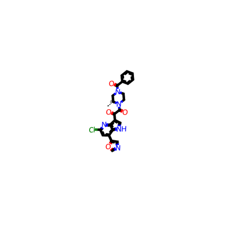 C[C@@H]1CN(C(=O)c2ccccc2)CCN1C(=O)C(=O)c1c[nH]c2c(-c3cnco3)cc(Cl)nc12